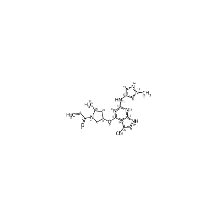 C=CC(=O)N1CC(Oc2nc(Nc3cnn(C)c3)nc3[nH]cc(Cl)c23)CC1C